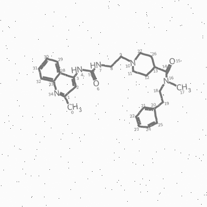 Cc1cc(NC(=O)NCCN2CCC(C(=O)N(C)CCc3ccccc3)CC2)c2ccccc2n1